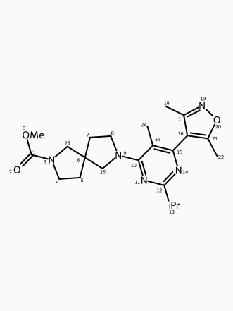 COC(=O)N1CCC2(CCN(c3nc(C(C)C)nc(-c4c(C)noc4C)c3C)C2)C1